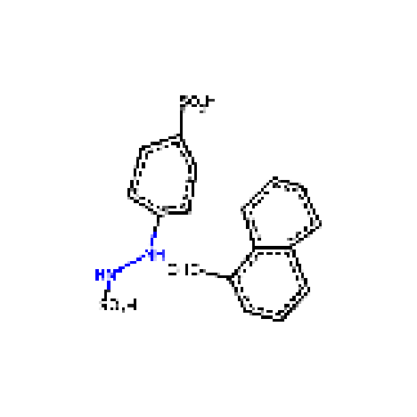 O=Cc1cccc2ccccc12.O=S(=O)(O)NNc1ccc(S(=O)(=O)O)cc1